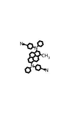 Cc1cc(N(c2ccccc2)c2ccc(C#N)cc2)c2ccc3ccc(N(c4ccccc4)c4ccc(C#N)cc4)c4ccc1c2c34